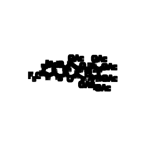 CC(=O)OC[C@H]1O[C@@H](Sc2cccc(C(F)(F)F)c2)[C@H](OC(C)=O)[C@@H](OC(C)=O)[C@@H]1O[C@H]1O[C@H](COC(C)=O)[C@@H](OC(C)=O)[C@H](OC(C)=O)[C@H]1OC(C)=O